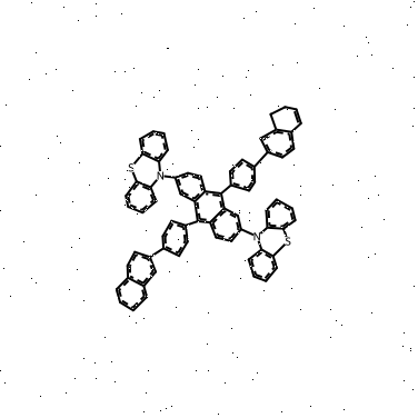 C1=Cc2ccc(-c3ccc(-c4c5ccc(N6c7ccccc7Sc7ccccc76)cc5c(-c5ccc(-c6ccc7ccccc7c6)cc5)c5ccc(N6c7ccccc7Sc7ccccc76)cc45)cc3)cc2CC1